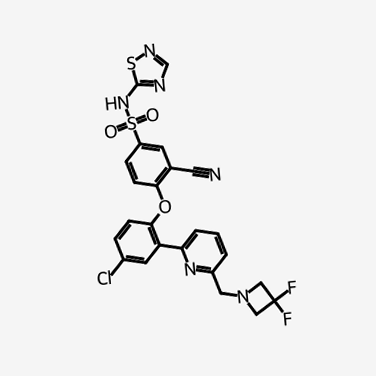 N#Cc1cc(S(=O)(=O)Nc2ncns2)ccc1Oc1ccc(Cl)cc1-c1cccc(CN2CC(F)(F)C2)n1